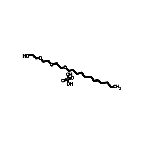 CCCCCCCCCCCCOCCOCCOCCO.O=S(=O)(O)O